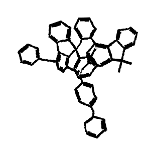 CC1(C)c2ccccc2-c2ccc(N(c3ccc(-c4ccccc4)cc3)c3ccc(-c4ccccc4)c4c3C3(c5ccccc5Sc5ccccc53)c3ccccc3-4)cc21